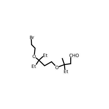 CCC(C)(CC=O)OCCC(CC)(CC)OCCBr